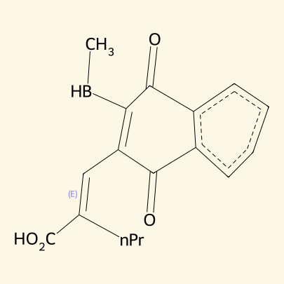 CBC1=C(/C=C(\CCC)C(=O)O)C(=O)c2ccccc2C1=O